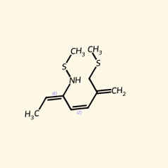 C=C(/C=C\C(=C/C)NSC)CSC